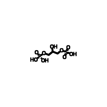 O=P(O)(O)OCC(O)COS(=O)(=O)O